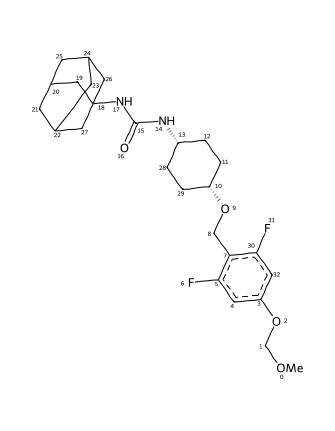 COCOc1cc(F)c(CO[C@H]2CC[C@@H](NC(=O)NC34CC5CC(CC(C5)C3)C4)CC2)c(F)c1